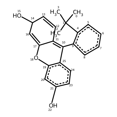 CC(C)(C)c1ccccc1C1=C2C=CC(O)C=C2Oc2cc(O)ccc21